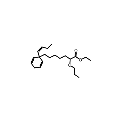 CC/C=C\C1(CCCCCC(OCCC)C(=O)OCC)C=CCC=C1